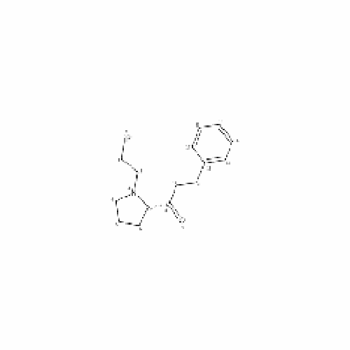 CC(C)CCN1CCC[C@H]1C(=O)CCc1ccccc1